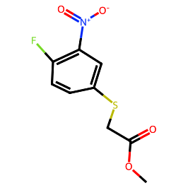 COC(=O)CSc1ccc(F)c([N+](=O)[O-])c1